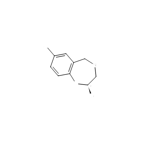 CC[C@@H]1CNCc2cc(Cl)ccc2O1